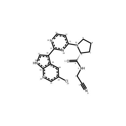 N#CCNC(=O)[C@H]1CCCN1c1ccnc(-c2c[nH]c3ncc(Cl)cc23)n1